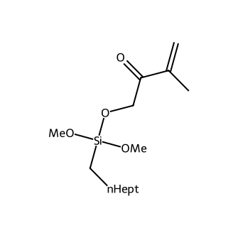 C=C(C)C(=O)CO[Si](CCCCCCCC)(OC)OC